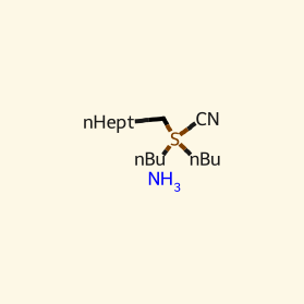 CCCCCCCCS(C#N)(CCCC)CCCC.N